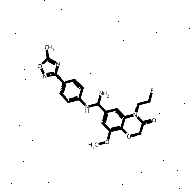 COc1cc(C(N)Nc2ccc(-c3noc(C)n3)cc2)cc2c1OCC(=O)N2CCF